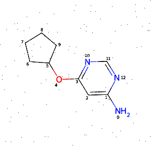 Nc1cc(OC2CCCC2)ncn1